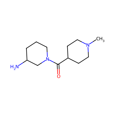 CN1CCC(C(=O)N2CCCC(N)C2)CC1